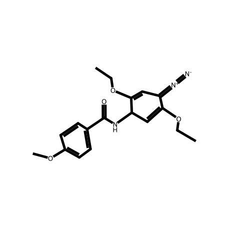 CCOC1=CC(NC(=O)c2ccc(OC)cc2)C(OCC)=CC1=[N+]=[N-]